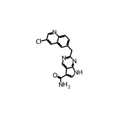 NC(=O)c1c[nH]c2nc(Cc3ccc4ncc(Cl)cc4c3)ncc12